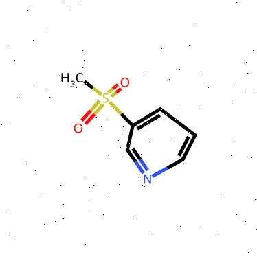 CS(=O)(=O)c1cccnc1